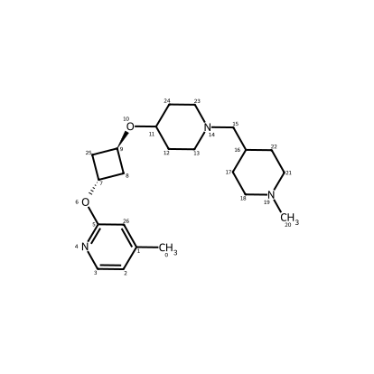 Cc1ccnc(O[C@H]2C[C@H](OC3CCN(CC4CCN(C)CC4)CC3)C2)c1